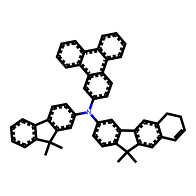 CC1(C)c2ccccc2-c2ccc(N(c3ccc4c(c3)-c3cc5c(cc3C4(C)C)C=CCC5)c3ccc4c5ccccc5c5ccccc5c4c3)cc21